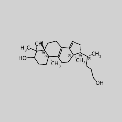 C[C@H](CCCO)[C@H]1CC=C2C3=C(CC[C@@]21C)[C@@]1(C)CCC(O)C(C)(C)[C@@H]1CC3